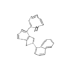 C1=CC=C(c2cccc3c2C=C(c2cccc4ccccc24)C3)NC=C1